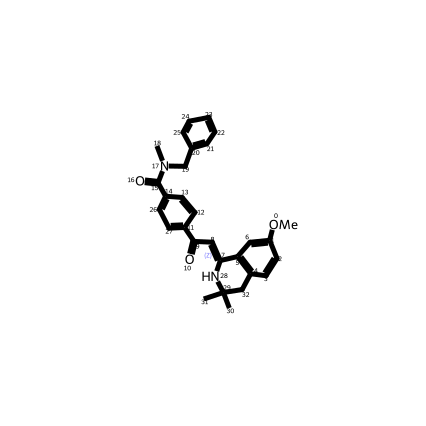 COc1ccc2c(c1)/C(=C/C(=O)c1ccc(C(=O)N(C)Cc3ccccc3)cc1)NC(C)(C)C2